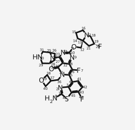 Nc1nc2c(-c3c(F)c4nc(OC[C@@]56CCCN5C[C@H](F)C6)nc(N5C6CCC5CNC6)c4c(=O)n3CC3COC3)ccc(F)c2s1